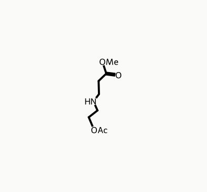 COC(=O)CCNCCOC(C)=O